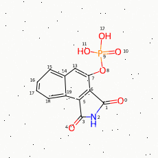 O=C1NC(=O)c2c1c(OP(=O)(O)O)cc1ccccc21